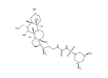 CC[C@H]1[C@@H](O)[C@@H]2[C@H](CC[C@]3(C)[C@@H]([C@H](C)CCNC(=O)NS(=O)(=O)N4C[C@H](C)C[C@H](C)C4)CC[C@@H]23)[C@@]2(C)CC[C@@H](O)C[C@@H]12